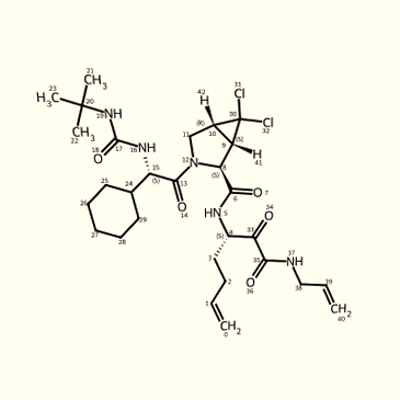 C=CCC[C@H](NC(=O)[C@@H]1[C@@H]2[C@H](CN1C(=O)[C@@H](NC(=O)NC(C)(C)C)C1CCCCC1)C2(Cl)Cl)C(=O)C(=O)NCC=C